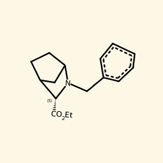 CCOC(=O)[C@@H]1C2CCC(C2)N1Cc1ccccc1